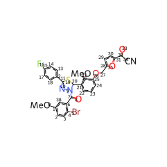 COc1ccc(Br)c(C(=O)N2N=C(c3ccc(F)cc3)SC2c2cccc(OCc3ccc(C(=O)C#N)o3)c2OC)c1